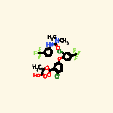 CN(C)C(=O)Nc1cccc(C(F)(F)F)c1.C[C@H](OC(=O)c1cc(Oc2ccc(C(F)(F)F)cc2Cl)ccc1Cl)C(=O)O